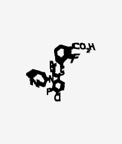 O=C(O)c1cccc(Sc2c(Br)n(-c3cccnc3)c3c(F)c(Cl)ccc23)c1F